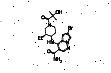 CC[C@H]1CN(C(=O)C(C)(C)O)CC[C@H]1Nc1c(C(N)=O)cnn2cc(Br)cc12